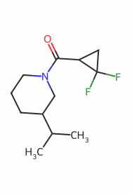 CC(C)C1CCCN(C(=O)C2CC2(F)F)C1